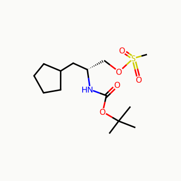 CC(C)(C)OC(=O)N[C@@H](COS(C)(=O)=O)CC1CCCC1